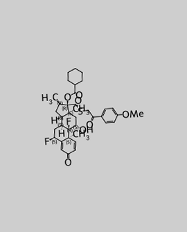 COc1ccc(C(=O)CSC(=O)[C@@]2(OC(=O)C3CCCCC3)[C@H](C)C[C@H]3[C@@H]4C[C@H](F)C5=CC(=O)C=C[C@]5(C)[C@@]4(F)[C@@H](O)C[C@@]32C)cc1